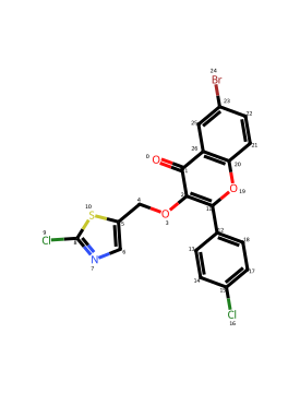 O=c1c(OCc2cnc(Cl)s2)c(-c2ccc(Cl)cc2)oc2ccc(Br)cc12